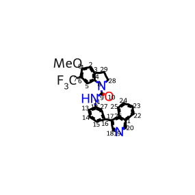 COc1cc2c(cc1C(F)(F)F)N(C(=O)Nc1cccc(-c3cncc4ccccc34)c1)CC2